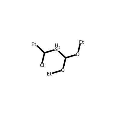 CCOC(OCC)[SiH2]C(Cl)CC